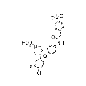 CCS(=O)(=O)c1ccc(CC(=O)Nc2ccc(OC3(c4ccc(Cl)c(F)c4)CCN(C(=O)O)CC3)cc2)cc1